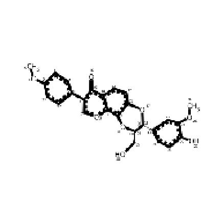 COc1ccc(-c2coc3c4c(ccc3c2=O)O[C@H](c2ccc(O)c(OC)c2)[C@@H](CO)O4)cc1